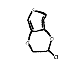 ClC1COc2cscc2O1